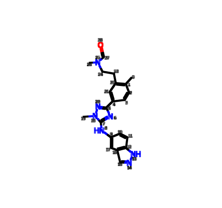 Cc1ccc(-c2nc(Nc3ccc4[nH]ncc4c3)n(C)n2)cc1CCN(C)C=O